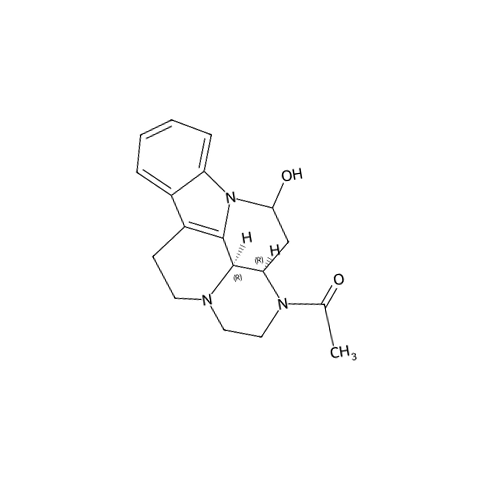 CC(=O)N1CCN2CCc3c4n(c5ccccc35)C(O)C[C@@H]1[C@H]42